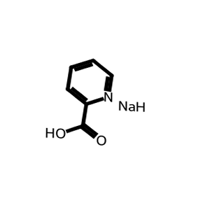 O=C(O)c1ccccn1.[NaH]